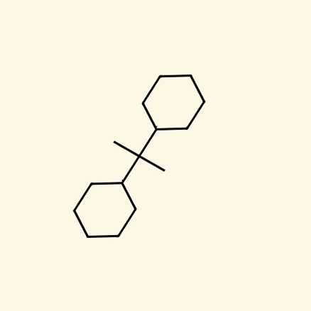 CC(C)([C]1CCCCC1)[C]1CCCCC1